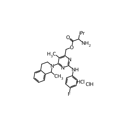 Cc1c(COC(=O)C(N)C(C)C)nc(Nc2ccc(F)cc2)nc1N1CCc2ccccc2C1C.Cl.Cl